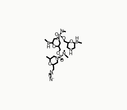 CBC1CNCC(COP(=O)(N(C)C)N2CC(BC)OC(COP(=O)(N(C)C)N3CC(C)OC(CN=[N+]=[N-])C3)C2)O1